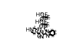 Cn1c(-c2noc(N3CCNCC3)n2)nc2ccccc21.O=C(O)C(F)(F)F.O=C(O)C(F)(F)F